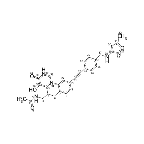 CC(=O)NCC(Cc1ccc(C#Cc2ccc(CNc3cc(C)on3)cc2)cc1)c1nc[nH]c(=O)c1O